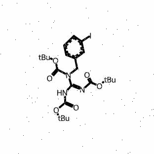 CC(C)(C)OC(=O)/N=C(/NC(=O)OC(C)(C)C)N(Cc1cccc(I)c1)C(=O)OC(C)(C)C